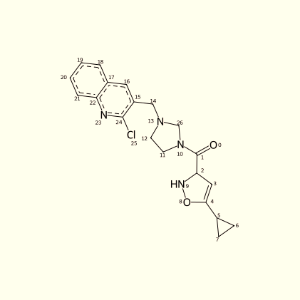 O=C(C1C=C(C2CC2)ON1)N1CCN(Cc2cc3ccccc3nc2Cl)C1